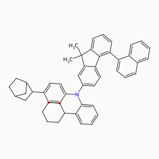 CC1(C)c2cc(N(c3ccc(C4CC5CCC4C5)cc3)c3ccccc3C3CCCCC3)ccc2-c2c(-c3cccc4ccccc34)cccc21